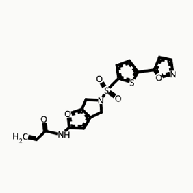 C=CC(=O)Nc1cc2c(o1)CN(S(=O)(=O)c1ccc(-c3ccno3)s1)C2